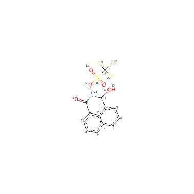 O=C1c2cccc3cccc(c23)C(O)N1OS(=O)(=O)C(F)(F)F